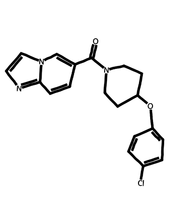 O=C(c1ccc2nccn2c1)N1CCC(Oc2ccc(Cl)cc2)CC1